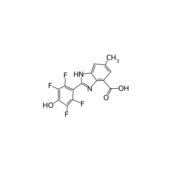 Cc1cc(C(=O)O)c2nc(-c3c(F)c(F)c(O)c(F)c3F)[nH]c2c1